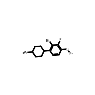 CCCC1CCC(c2ccc(OCC)c(F)c2CC)CC1